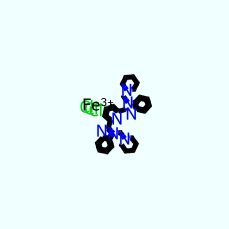 [Cl-].[Cl-].[Cl-].[Fe+3].c1cc(-c2nc3ccccc3n2CN2CCCCC2)nc(-c2nc3ccccc3n2CN2CCCCC2)c1